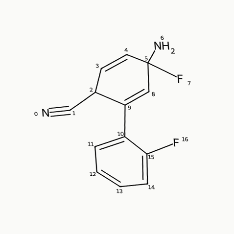 N#CC1C=CC(N)(F)C=C1c1ccccc1F